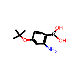 CC(C)(C)Oc1ccc(B(O)O)c(N)c1